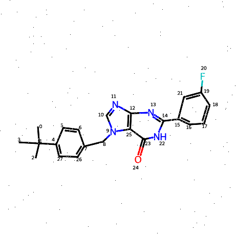 CC(C)(C)c1ccc(Cn2cnc3nc(-c4cccc(F)c4)[nH]c(=O)c32)cc1